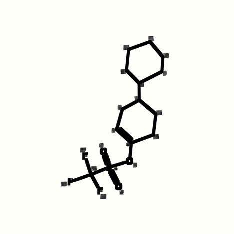 O=S(=O)(OC1=CCC(C2CCCCC2)CC1)C(F)(F)F